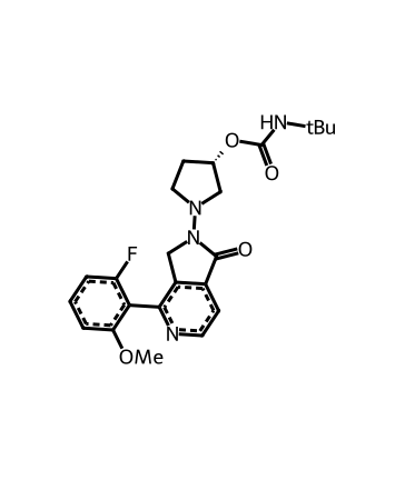 COc1cccc(F)c1-c1nccc2c1CN(N1CC[C@H](OC(=O)NC(C)(C)C)C1)C2=O